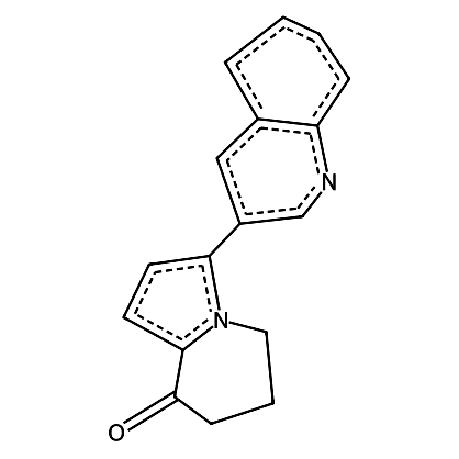 O=C1CCCn2c1ccc2-c1cnc2ccccc2c1